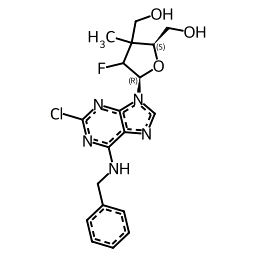 CC1(CO)C(F)[C@H](n2cnc3c(NCc4ccccc4)nc(Cl)nc32)O[C@@H]1CO